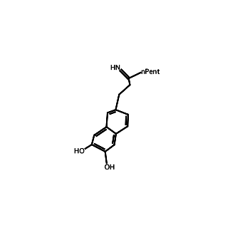 CCCCCC(=N)CCc1ccc2cc(O)c(O)cc2c1